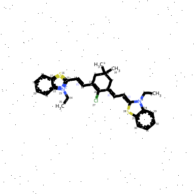 CCN1/C(=C/C=C2\CC(C)(C)CC(/C=C/c3sc4ccccc4[n+]3CC)=C2Cl)Sc2ccccc21